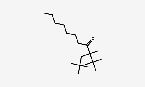 CCCCCCCC(=O)C(C)(CC(C)(C)C)C(C)(C)C